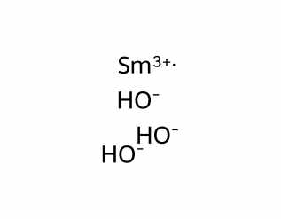 [OH-].[OH-].[OH-].[Sm+3]